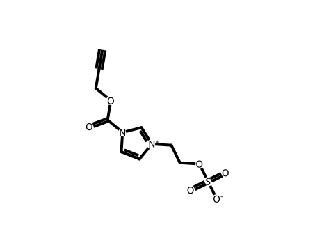 C#CCOC(=O)n1cc[n+](CCOS(=O)(=O)[O-])c1